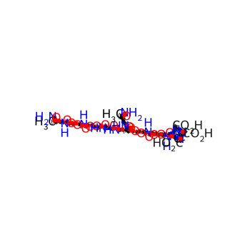 C[C@@H](CCCCNC(=O)COCCOCCNC(=O)COCCOCCNC(=O)CCCC(=O)NCCCC[C@H](CC(=O)COCCOCCNC(=O)COCCOCCNC(=O)CN1CCN(CC(=O)O)CCN(CC(=O)O)CCN(CC(=O)O)CC1)C(=O)NCCCC[C@H](C)C(N)=O)C(N)=O